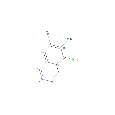 Fc1cc2cnccc2c(F)c1F